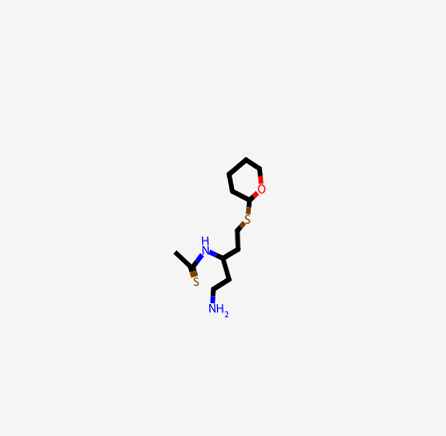 CC(=S)NC(CCN)CCSC1CCCCO1